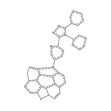 C1=CC2Sc3ccc4c5c3c2c2c1ccc1c2c5c(n1-c1ccc(-c2nnc(-c3ccccc3)n2-c2ccccc2)nc1)=CC4